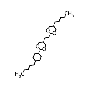 CCCCCC1CCC([C@H]2OC[C@H](CC[C@H]3OC[C@H](CCCCC)CO3)CO2)CC1